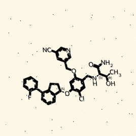 C[C@@H](O)[C@H](NCc1cc(Cl)c(O[C@H]2CCc3c(-c4ccccc4F)cccc32)cc1OCc1cncc(C#N)c1)C(N)=O